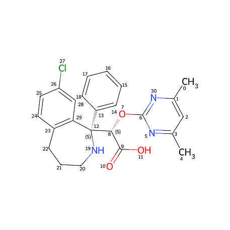 Cc1cc(C)nc(O[C@H](C(=O)O)[C@@]2(c3ccccc3)NCCCc3ccc(Cl)cc32)n1